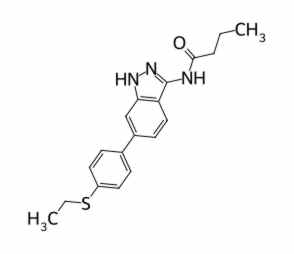 CCCC(=O)Nc1n[nH]c2cc(-c3ccc(SCC)cc3)ccc12